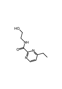 CCc1ccnc(C(=O)NCCO)n1